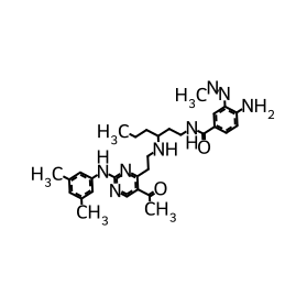 CCCC(CCNC(=O)c1ccc(N)c(/N=N\C)c1)NCCc1nc(Nc2cc(C)cc(C)c2)ncc1C(C)=O